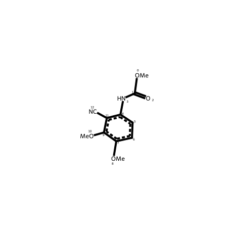 COC(=O)Nc1ccc(OC)c(OC)c1C#N